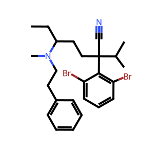 CCC(CCC(C#N)(c1c(Br)cccc1Br)C(C)C)N(C)CCc1ccccc1